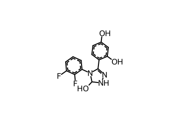 Oc1ccc(C2=NNC(O)N2c2cccc(F)c2F)c(O)c1